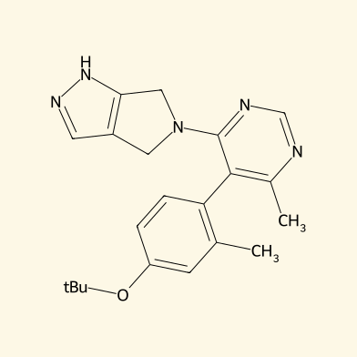 Cc1cc(OC(C)(C)C)ccc1-c1c(C)ncnc1N1Cc2cn[nH]c2C1